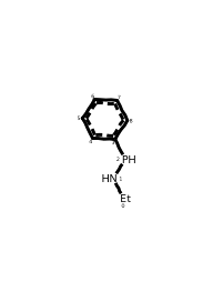 CCNPc1ccccc1